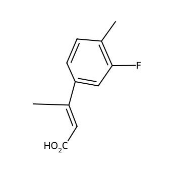 CC(=CC(=O)O)c1ccc(C)c(F)c1